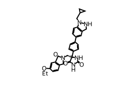 CCOc1ccc2c(c1)C(=O)N(C[C@@]1(c3ccc(-c4ccc5c(c4)CNN5CC4CC4)cc3)NC(=O)NC1=O)C2